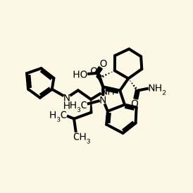 CC(C)C[C@@H](CNc1ccccc1)NC(=O)[C@@H]1CCCC[C@@]1(C(N)=O)c1c(C(=O)O)n(C)c2ccccc12